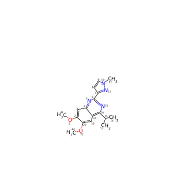 COc1cc2nc(-c3ccn(C)n3)nc(C(C)C)c2cc1OC